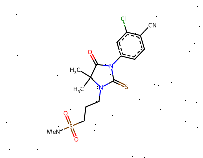 CNS(=O)(=O)CCCN1C(=S)N(c2ccc(C#N)c(Cl)c2)C(=O)C1(C)C